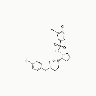 O=S(=O)(N[C@@H]1CCC[C@H]1N1CCC(Cc2ccc(Cl)cc2)CC1)c1ccc(Cl)c(Cl)c1